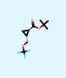 CC(C)(C)OC(=O)[C@@H]1C[C@H]1COC(F)(F)F